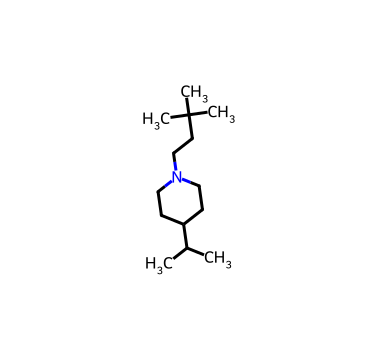 CC(C)C1CCN(CCC(C)(C)C)CC1